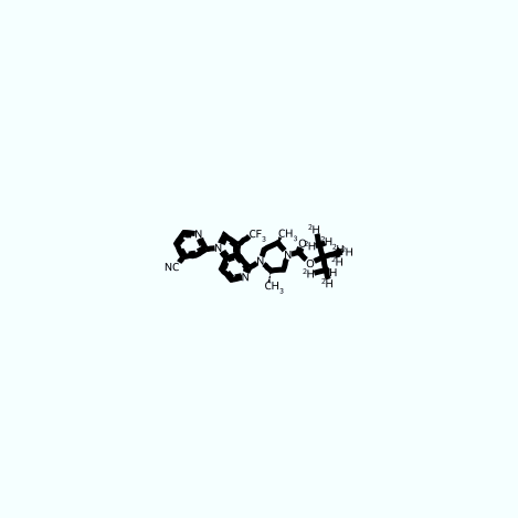 [2H]C([2H])([2H])C(OC(=O)N1C[C@H](C)N(c2nccc3c2c(C(F)(F)F)cn3-c2cc(C#N)ccn2)C[C@H]1C)(C([2H])([2H])[2H])C([2H])([2H])[2H]